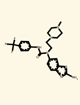 CN1CCN(CCN(C(=O)Nc2ccc(C(F)(F)F)cc2)c2ccc3nc(N)sc3c2)CC1